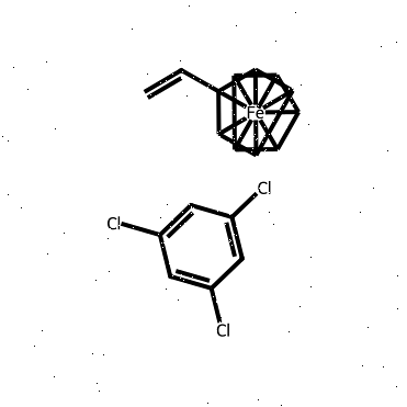 C=C[C]12[CH]3[CH]4[CH]5[CH]1[Fe]45321678[CH]2[CH]1[CH]6[CH]7[CH]28.Clc1cc(Cl)cc(Cl)c1